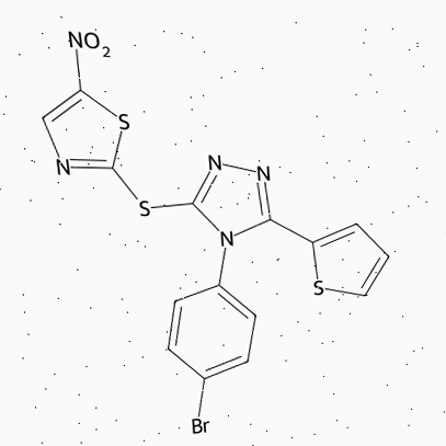 O=[N+]([O-])c1cnc(Sc2nnc(-c3cccs3)n2-c2ccc(Br)cc2)s1